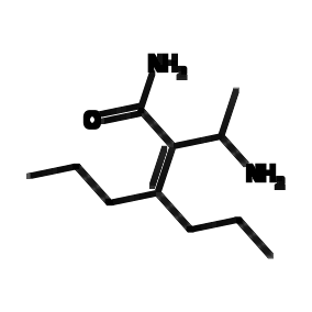 CCCC(CCC)=C(C(N)=O)C(C)N